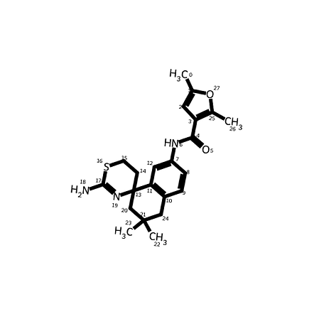 Cc1cc(C(=O)Nc2ccc3c(c2)C2(CCSC(N)=N2)CC(C)(C)C3)c(C)o1